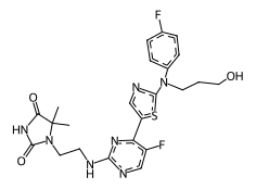 CC1(C)C(=O)NC(=O)N1CCNc1ncc(F)c(-c2cnc(N(CCCO)c3ccc(F)cc3)s2)n1